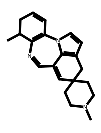 CC1CC=CC2=C1N=CC1=CC3(CCN(C)CC3)Cc3ccn2c31